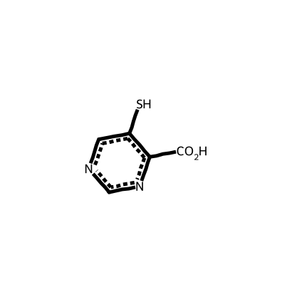 O=C(O)c1ncncc1S